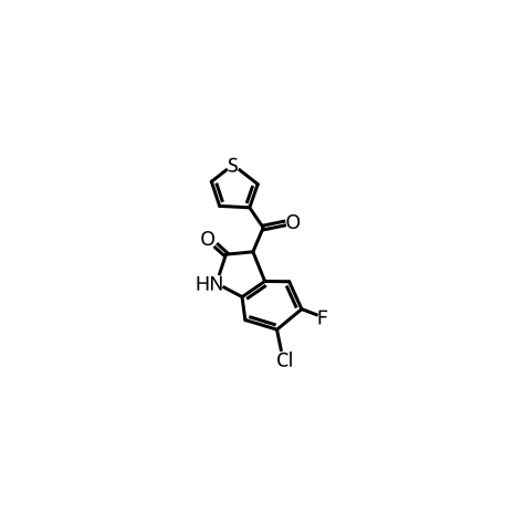 O=C1Nc2cc(Cl)c(F)cc2C1C(=O)c1ccsc1